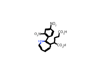 O=C(O)CCC(C(=O)O)C1=C(c2ccc([N+](=O)[O-])cc2[N+](=O)[O-])NC=CC=C1